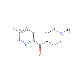 CCN1CCC(C(=O)c2ccc(C)cn2)CC1